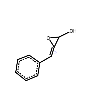 OC1O/C1=C\c1ccccc1